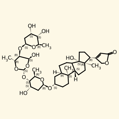 C[C@H]1O[C@@H](O[C@@H]2[C@@H](C)O[C@@H](O[C@H]3[C@@H](O)C[C@H](O[C@H]4CC[C@@]5(C)[C@H](CCC6[C@@H]5CC[C@]5(C)[C@@H](C7=CC(=O)OC7)CC[C@]65O)C4)O[C@@H]3C)O[C@@H]2O)C[C@H](O)[C@@H]1O